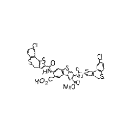 COC(=O)c1cc2c(cc1NC(=O)c1cc3c(s1)-c1cc(Cl)ccc1SC3)sc1cc(NC(=O)c3cc4c(s3)-c3cc(Cl)ccc3SC4)c(C(=O)O)cc12